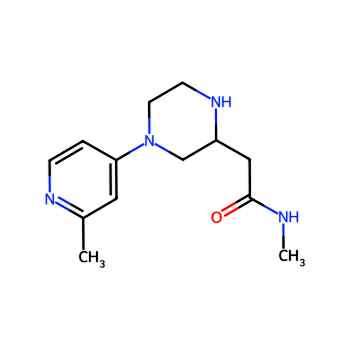 CNC(=O)CC1CN(c2ccnc(C)c2)CCN1